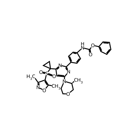 Cc1noc(C)c1S(=O)(=O)C1(c2cc(N3CCOC[C@@H]3C)nc(-c3ccc(NC(=O)Oc4ccccc4)cc3)n2)CC1